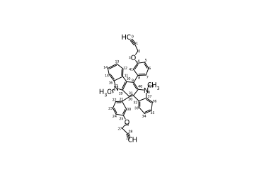 C#CCOc1cccc(-c2c3c4ccccc4n(C)c3c(-c3cccc(OCC#C)c3)c3c4ccccc4n(C)c23)c1